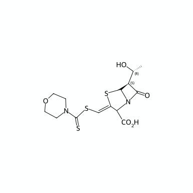 C[C@@H](O)[C@H]1C(=O)N2C(C(=O)O)C(=CSC(=S)N3CCOCC3)SC12